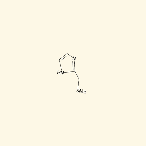 [CH2]SCc1ncc[nH]1